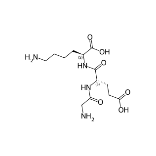 NCCCC[C@H](NC(=O)[C@H](CCC(=O)O)NC(=O)CN)C(=O)O